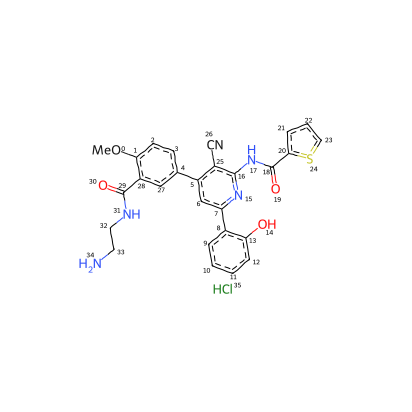 COc1ccc(-c2cc(-c3ccccc3O)nc(NC(=O)c3cccs3)c2C#N)cc1C(=O)NCCN.Cl